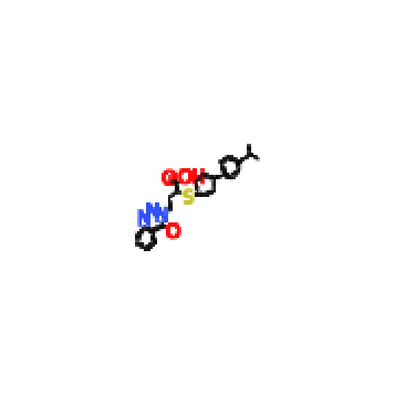 CC(C)c1ccc(-c2ccc(SC(CCn3nnc4ccccc4c3=O)C(=O)O)cc2)cc1